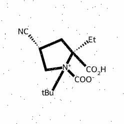 CC[C@@]1(C(=O)O)C[C@@H](C#N)C[N+]1(C(=O)[O-])C(C)(C)C